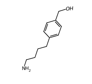 NCCCCc1ccc(CO)cc1